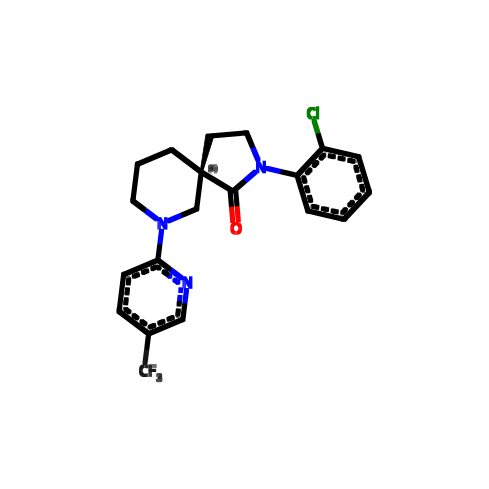 O=C1N(c2ccccc2Cl)CC[C@@]12CCCN(c1ccc(C(F)(F)F)cn1)C2